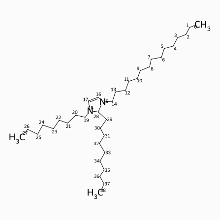 CCCCCCCCCCCCCCCN1C=CN(CCCCCCCCC)C1CCCCCCCCCC